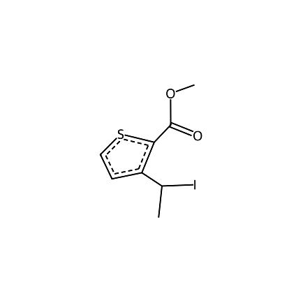 COC(=O)c1sccc1C(C)I